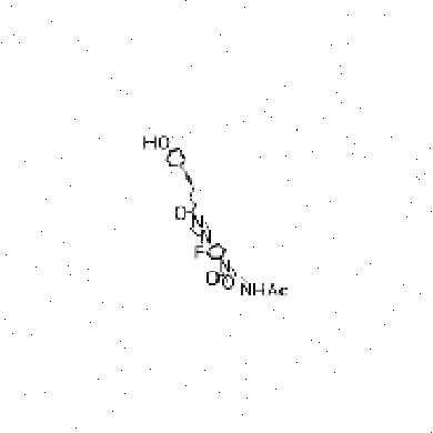 CC(=O)NC[C@H]1CN(c2ccc(N3CCN(C(=O)CCCC#Cc4ccc(O)cc4)CC3)c(F)c2)C(=O)O1